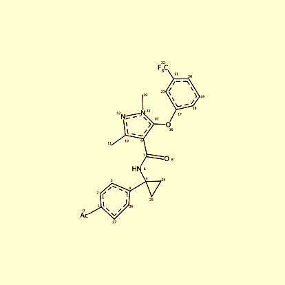 CC(=O)c1ccc(C2(NC(=O)c3c(C)nn(C)c3Oc3cccc(C(F)(F)F)c3)CC2)cc1